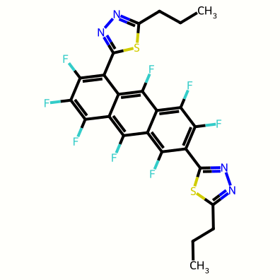 CCCc1nnc(-c2c(F)c(F)c3c(F)c4c(-c5nnc(CCC)s5)c(F)c(F)c(F)c4c(F)c3c2F)s1